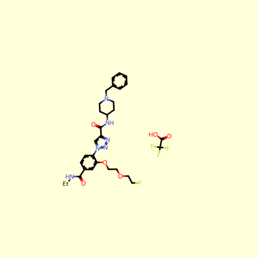 CCNC(=O)c1ccc(-n2cc(C(=O)NC3CCN(Cc4ccccc4)CC3)nn2)c(OCCOCCF)c1.O=C(O)C(F)(F)F